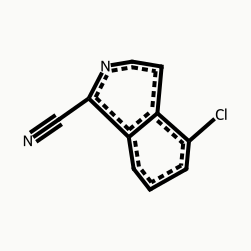 N#Cc1nccc2c(Cl)cccc12